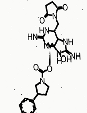 N=C1NC2C(CN3C(=O)CCC3=O)NC(=N)N3C[C@H](OC(=O)N4CCC(c5ccccc5)C4)[C@@H](O)C23N1